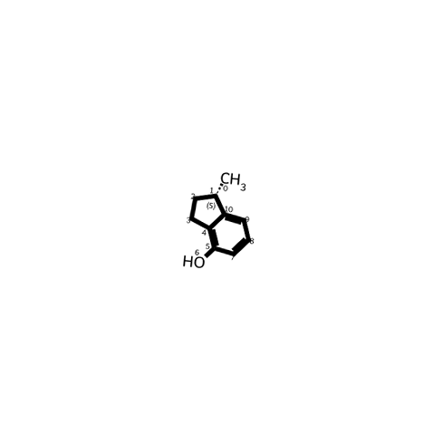 C[C@H]1CCc2c(O)cccc21